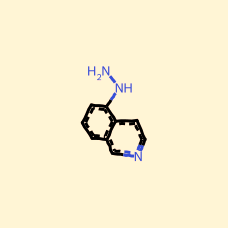 NNc1cccc2cnccc12